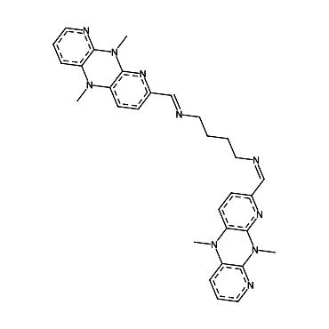 CN1c2cccnc2N(C)c2nc(/C=N\CCCC/N=C/c3ccc4c(n3)N(C)c3ncccc3N4C)ccc21